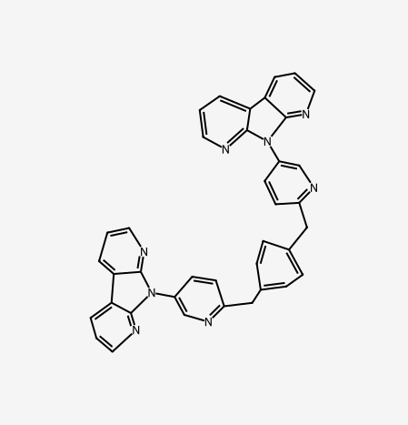 c1cnc2c(c1)c1cccnc1n2-c1ccc(Cc2ccc(Cc3ccc(-n4c5ncccc5c5cccnc54)cn3)cc2)nc1